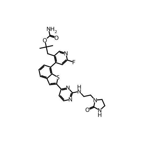 CC(C)(Cc1cnc(F)cc1-c1cccc2cc(-c3ccnc(NCCN4CCNC4=O)n3)sc12)OC(N)=O